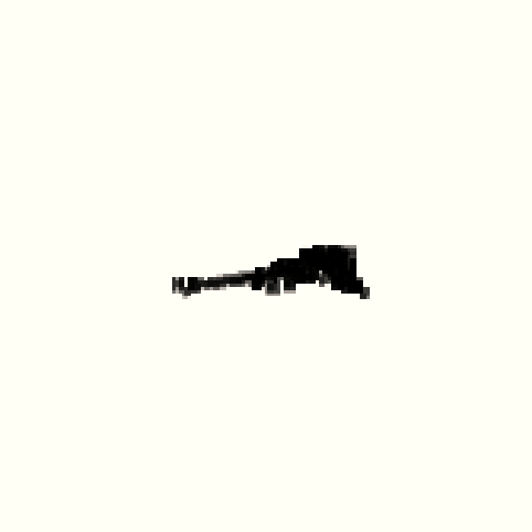 CCCCCCCCCCCCCC=CC(=O)SCCNC(=O)CCNC(=O)[C@H](O)C(C)(C)COP(=O)(O)OP(=O)(O)OC[C@H]1O[C@@H](n2cnc3c(N)ncnc32)[C@H](O)[C@@H]1OP(=O)(O)O